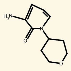 Nc1cccn(C2CCOCC2)c1=O